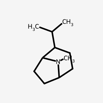 CC(C)C1CCC2CCC1N2C